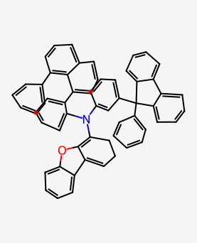 C1=c2c(oc3ccccc23)=C(N(c2cccc(C3(c4ccccc4)c4ccccc4-c4ccccc43)c2)c2ccccc2-c2cccc3cccc(-c4ccccc4)c23)CC1